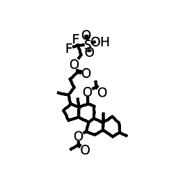 CC(=O)OC1CC2CC(C)CCC2(C)C2CC(OC(C)=O)C3(C)C(C(C)CCC(=O)OCC(F)(F)S(=O)(=O)O)CCC3C12